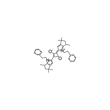 CC1CC(C)(C)C2=C/C(=C3/C(=O)C(c4cc5c(n4CCc4ccccc4)C(C)CC5(C)C)=C3[O-])[N+](CCc3ccccc3)=C21